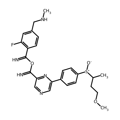 CNCc1ccc(C(=N)OC(=N)c2cncc(-c3ccc([S+]([O-])C(C)CCOC)cc3)n2)c(F)c1